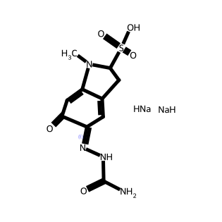 CN1C2=CC(=O)/C(=N/NC(N)=O)C=C2CC1S(=O)(=O)O.[NaH].[NaH]